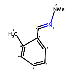 CN/N=C/c1ccccc1C